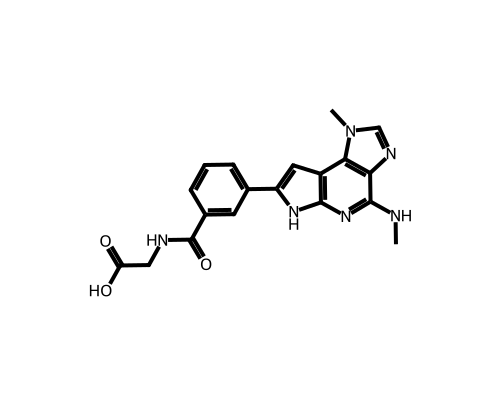 CNc1nc2[nH]c(-c3cccc(C(=O)NCC(=O)O)c3)cc2c2c1ncn2C